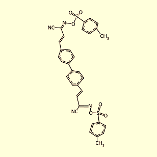 Cc1ccc(S(=O)(=O)ON=C(C#N)C=Cc2ccc(-c3ccc(C=CC(C#N)=NOS(=O)(=O)c4ccc(C)cc4)cc3)cc2)cc1